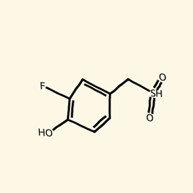 O=[SH](=O)Cc1ccc(O)c(F)c1